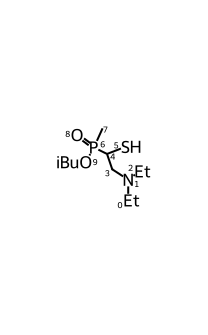 CCN(CC)CC(S)P(C)(=O)OCC(C)C